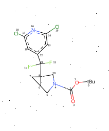 CC(C)(C)OC(=O)N1CC2CC2(C(F)(F)c2cc(Cl)nc(Cl)c2)C1